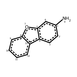 Nc1c[c]c2c(c1)oc1ccccc12